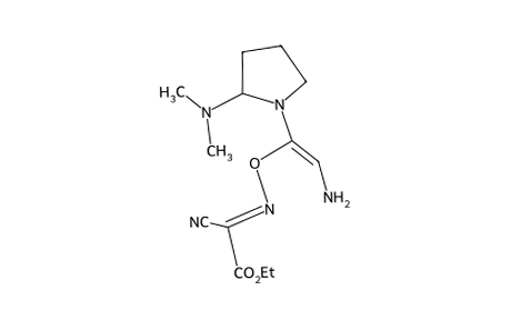 CCOC(=O)C(C#N)=NOC(=CN)N1CCCC1N(C)C